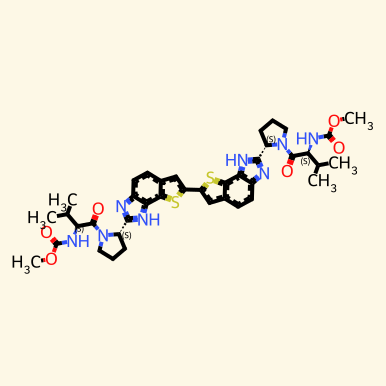 COC(=O)N[C@H](C(=O)N1CCC[C@H]1c1nc2ccc3cc(-c4cc5ccc6nc([C@@H]7CCCN7C(=O)[C@@H](NC(=O)OC)C(C)C)[nH]c6c5s4)sc3c2[nH]1)C(C)C